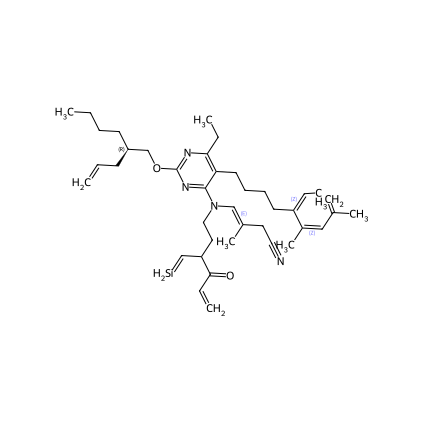 C=CC[C@@H](CCCC)COc1nc(CC)c(CCCCC(=C/C)/C(C)=C\C(=C)C)c(N(/C=C(\C)CC#N)CCC(C=[SiH2])C(=O)C=C)n1